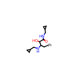 CC(C)CC(NCC1CC1)C(O)C(=O)NCC1CC1